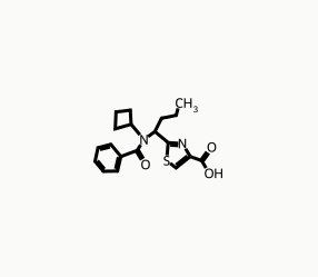 CCCC(c1nc(C(=O)O)cs1)N(C(=O)c1ccccc1)C1CCC1